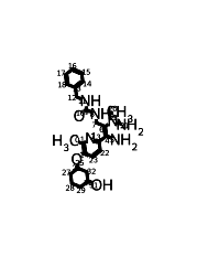 Cc1nc(/C(N)=C(\CNC(=O)NCc2ccccc2)N(C)N)ccc1OC1CCCC(O)C1